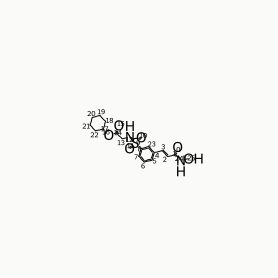 O=C(C=Cc1cccc(S(=O)(=O)NCC(=O)OC2CCCCC2)c1)NO